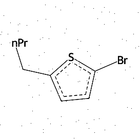 CCCCc1ccc(Br)s1